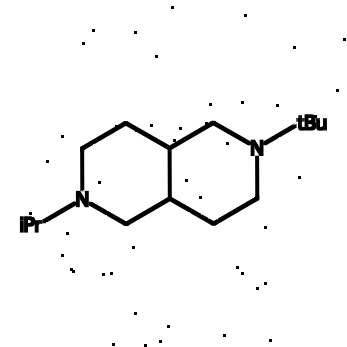 CC(C)N1CCC2CN(C(C)(C)C)CCC2C1